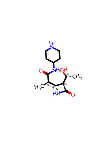 C[C@@H](O)[C@H]1C(=O)N[C@@H]1[C@@H](C)C(=O)NC1CCNCC1